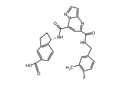 Cc1cc(CNC(=O)c2cc(C(=O)N[C@H]3CCc4cc(C(=O)O)ccc43)n3nccc3n2)ccc1F